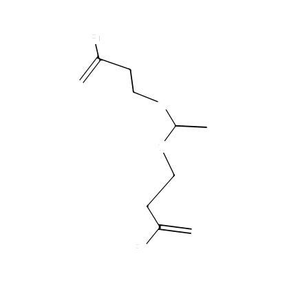 C=C(CC)CCSC(C)SCCC(=C)CC